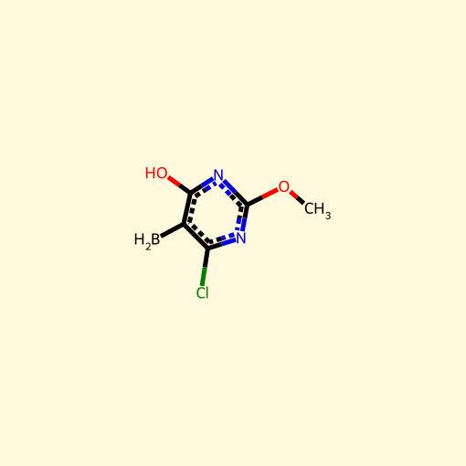 Bc1c(O)nc(OC)nc1Cl